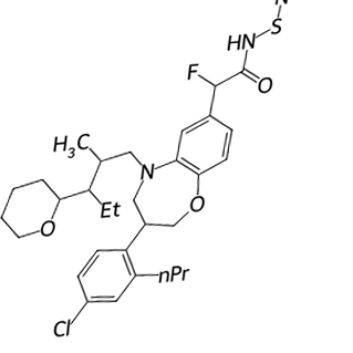 CCCc1cc(Cl)ccc1C1COc2ccc(C(F)C(=O)NSN(C)C)cc2N(CC(C)C(CC)C2CCCCO2)C1